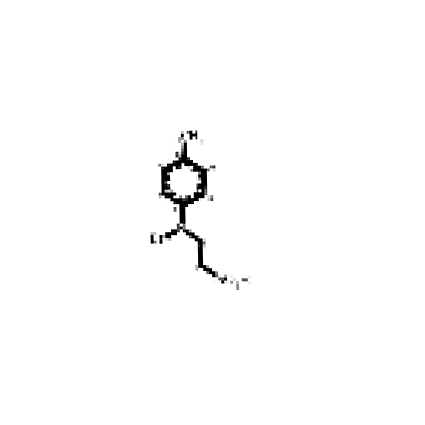 CCN(CCS(=O)(=O)O)c1ccc(C)cc1